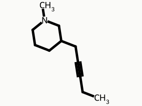 CCC#CCC1CCCN(C)C1